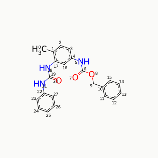 Cc1ccc(NC(=O)OCc2ccccc2)cc1NC(=O)Nc1ccccc1